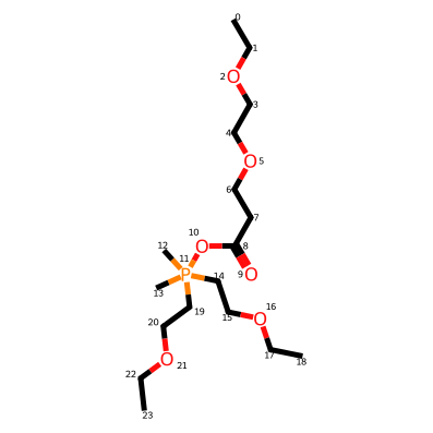 CCOCCOCCC(=O)OP(C)(C)(CCOCC)CCOCC